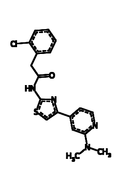 CN(C)c1cc(-c2csc(NC(=O)Cc3ccccc3Cl)n2)ccn1